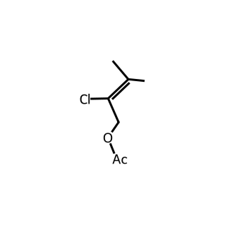 CC(=O)OCC(Cl)=C(C)C